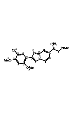 CNCC(N)c1ccn2cc(-c3cc(Cl)c(OC)cc3OC)nc2c1